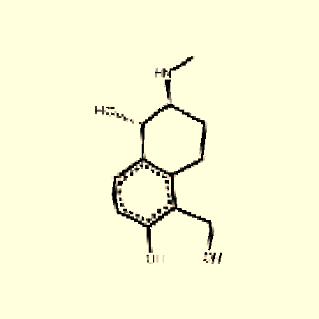 CN[C@H]1CCc2c(ccc(O)c2CO)[C@@H]1O